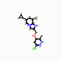 Cc1nnc(Cl)cc1OCc1cn2cc(C3CC3)cc(Br)c2n1